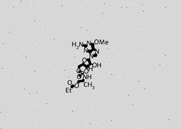 CCC(=O)OC[C@H](C)NP1(=O)OCC2O[C@@H](n3cnc4c(OC)nc(N)nc43)[C@@H](O)[C@@H]2O1